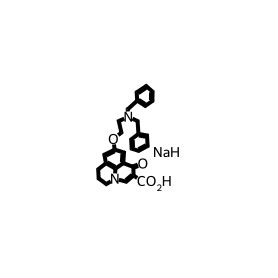 O=C(O)c1cn2c3c(cc(OCCN(Cc4ccccc4)Cc4ccccc4)cc3c1=O)CCC2.[NaH]